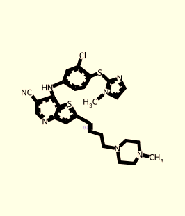 CN1CCN(CC/C=C/c2cc3ncc(C#N)c(Nc4ccc(Sc5nccn5C)c(Cl)c4)c3s2)CC1